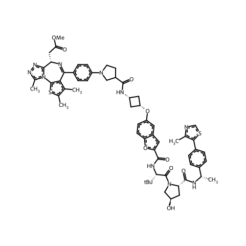 COC(=O)C[C@@H]1N=C(c2ccc(N3CCC(C(=O)N[C@H]4C[C@@H](Oc5ccc6oc(C(=O)N[C@H](C(=O)N7C[C@H](O)C[C@H]7C(=O)N[C@@H](C)c7ccc(-c8scnc8C)cc7)C(C)(C)C)cc6c5)C4)C3)cc2)c2c(sc(C)c2C)-n2c(C)nnc21